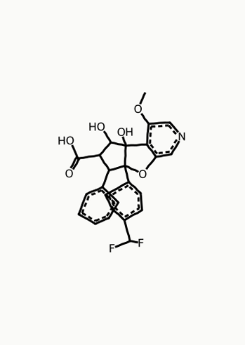 COc1cncc2c1C1(O)C(O)C(C(=O)O)C(c3ccccc3)C1(c1ccc(C(F)F)cc1)O2